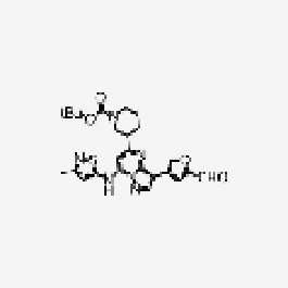 Cc1cc(Nc2cc(C3CCCN(C(=O)OC(C)(C)C)C3)nc3c(-c4coc(C=O)c4)cnn23)sn1